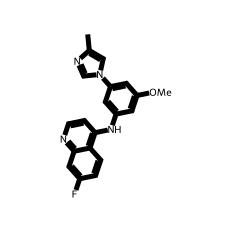 COc1cc(Nc2ccnc3cc(F)ccc23)cc(-n2cnc(C)c2)c1